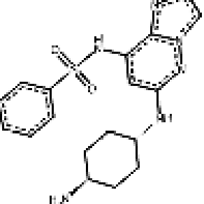 N[C@H]1CC[C@H](Nc2cc(NS(=O)(=O)c3ccccc3)c3nccn3n2)CC1